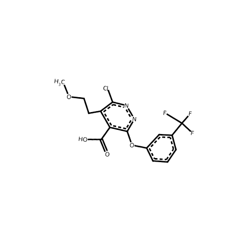 COCCc1c(Cl)nnc(Oc2cccc(C(F)(F)F)c2)c1C(=O)O